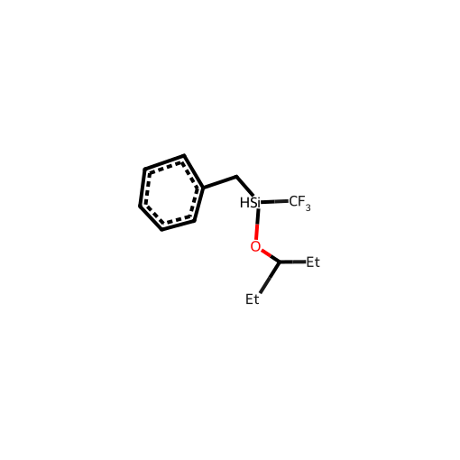 CCC(CC)O[SiH](Cc1ccccc1)C(F)(F)F